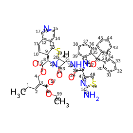 CC/C=C(\COC(=O)C1=C(/C=C\c2cccnc2)CS[C@H]2[C@H](NC(=O)C(=NOC(c3ccccc3)(c3ccccc3)c3ccccc3)c3csc(N)n3)C(=O)N12)C(=O)OCC